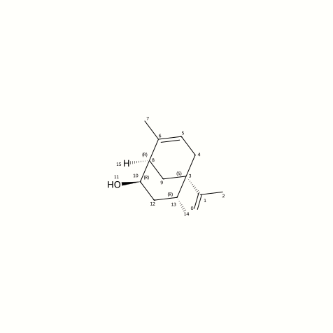 C=C(C)[C@@]12CC=C(C)[C@@H](C1)[C@H](O)C[C@H]2C